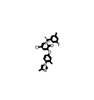 Cc1cc(F)cc([C@H](C)n2cc(Cl)cc(Oc3ccc(-n4cnc(C)c4)c(C)c3)c2=O)c1